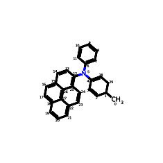 CC1C=CC(N(c2ccccc2)c2ccc3ccc4cccc5ccc2c3c45)=CC1